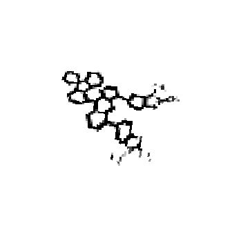 Cc1nc2ccc(-c3cccc4c(-c5cccc6c5-c5ccccc5C65CCCC5)c5cccc(-c6ccc7nc(C)n(C)c7c6)c5cc34)cc2n1C